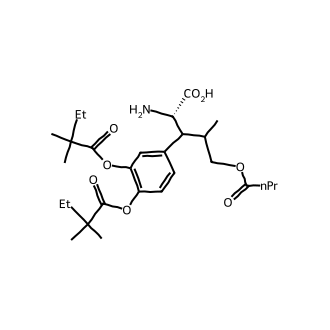 CCCC(=O)OCC(C)C(c1ccc(OC(=O)C(C)(C)CC)c(OC(=O)C(C)(C)CC)c1)[C@H](N)C(=O)O